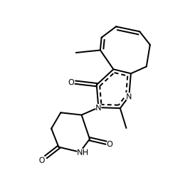 C/C1=C/C=C\CCc2nc(C)n(C3CCC(=O)NC3=O)c(=O)c21